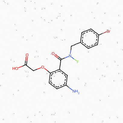 Nc1ccc(OCC(=O)O)c(C(=O)N(F)Cc2ccc(Br)cc2)c1